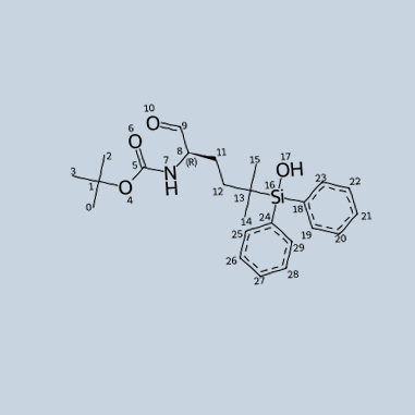 CC(C)(C)OC(=O)N[C@@H](C=O)CCC(C)(C)[Si](O)(c1ccccc1)c1ccccc1